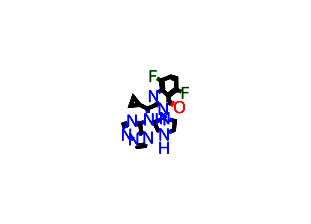 O=c1c2c(F)ccc(F)c2nc(C(Nc2ncnn3ccnc23)C2CC2)n1N1CCNCC1